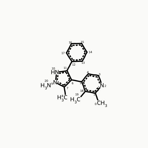 Cc1nccc(-c2c(C)n[nH]c2-c2ccccc2)c1C.N